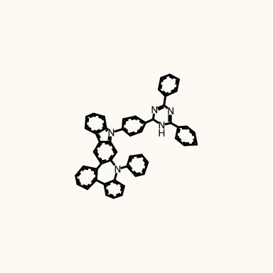 c1ccc(C2=NC(c3ccc(-n4c5ccccc5c5cc6c(cc54)N(c4ccccc4)c4ccccc4-c4ccccc4-6)cc3)NC(c3ccccc3)=N2)cc1